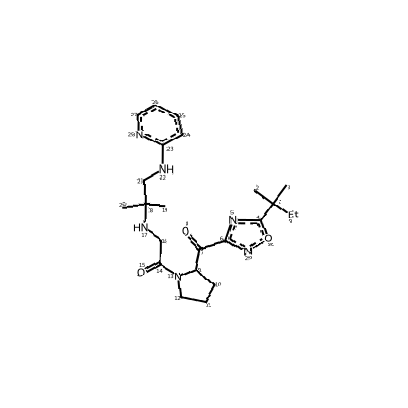 CCC(C)(C)c1nc(C(=O)C2CCCN2C(=O)CNC(C)(C)CNc2ccccn2)no1